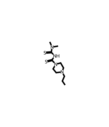 CCCN1CCN(C(=S)NC(=S)N(C)C)CC1